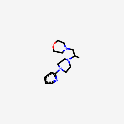 CC(CN1CCOCC1)N1CCN(c2ccccn2)CC1